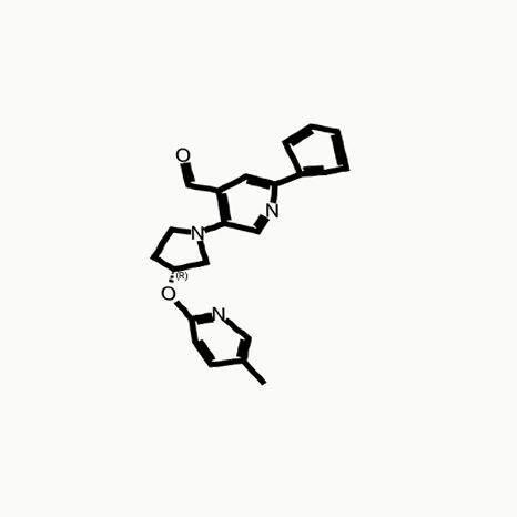 Cc1ccc(O[C@@H]2CCN(c3cnc(-c4ccccc4)cc3C=O)C2)nc1